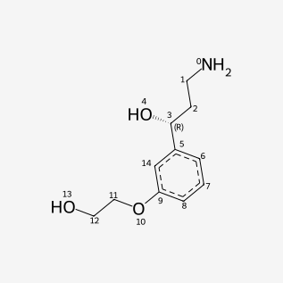 NCC[C@@H](O)c1cccc(OCCO)c1